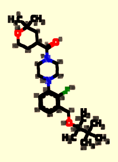 CC1(C)CC(C(=O)N2CCN(c3cccc(CO[Si](C)(C)C(C)(C)C)c3F)CC2)CCO1